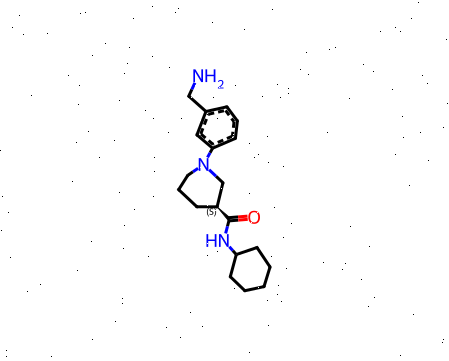 NCc1cccc(N2CCC[C@H](C(=O)NC3CCCCC3)C2)c1